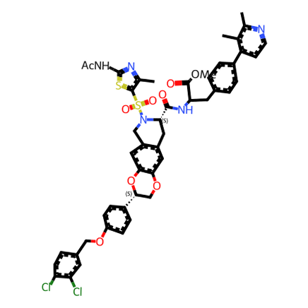 COC(=O)C(Cc1ccc(-c2ccnc(C)c2C)cc1)NC(=O)[C@@H]1Cc2cc3c(cc2CN1S(=O)(=O)c1sc(NC(C)=O)nc1C)O[C@@H](c1ccc(OCc2ccc(Cl)c(Cl)c2)cc1)CO3